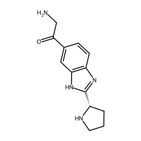 NCC(=O)c1ccc2nc([C@@H]3CCCN3)[nH]c2c1